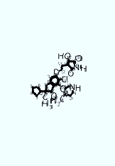 CC1(C2CCCC2)Cc2cc(OCCC3=C(O)C(=O)NC3=O)c(Cl)c(Cl)c2C1=O.CN1CCNCC1